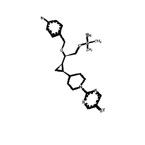 CCc1cnc(N2CCC([C@H]3C[C@H]3[C@H](CO[Si](C)(C)C(C)(C)C)OCc3ccc(Br)cc3)CC2)nc1